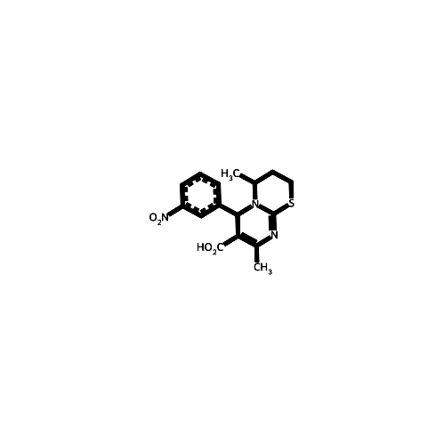 CC1=C(C(=O)O)C(c2cccc([N+](=O)[O-])c2)N2C(=N1)SCCC2C